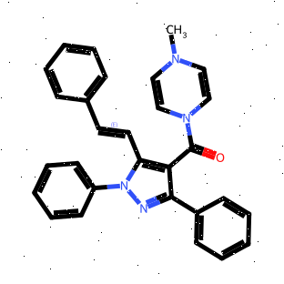 CN1C=CN(C(=O)c2c(-c3ccccc3)nn(-c3ccccc3)c2/C=C/c2ccccc2)C=C1